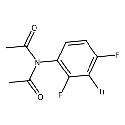 CC(=O)N(C(C)=O)c1ccc(F)[c]([Ti])c1F